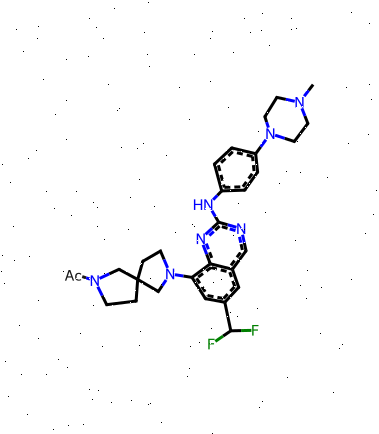 CC(=O)N1CCC2(CCN(c3cc(C(F)F)cc4cnc(Nc5ccc(N6CCN(C)CC6)cc5)nc34)C2)C1